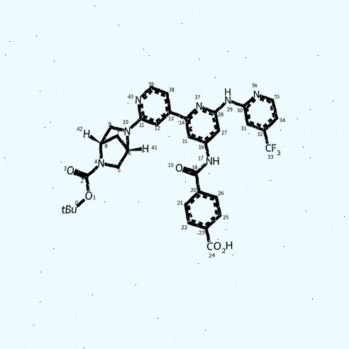 CC(C)(C)OC(=O)N1C[C@@H]2C[C@H]1CN2c1cc(-c2cc(NC(=O)c3ccc(C(=O)O)cc3)cc(Nc3cc(C(F)(F)F)ccn3)n2)ccn1